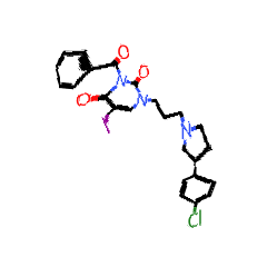 O=C(c1ccccc1)n1c(=O)c(I)cn(CCCN2CC[C@@H](c3ccc(Cl)cc3)C2)c1=O